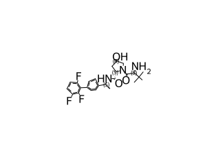 C[C@H](NC(=O)[C@@H]1C[C@@H](O)CN1C(=O)[C@@H](N)C(C)(C)C)c1ccc(-c2c(F)ccc(F)c2F)cc1